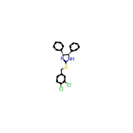 Clc1ccc(CSC2=N[C@@H](c3ccccc3)[C@@H](c3ccccc3)N2)cc1Cl